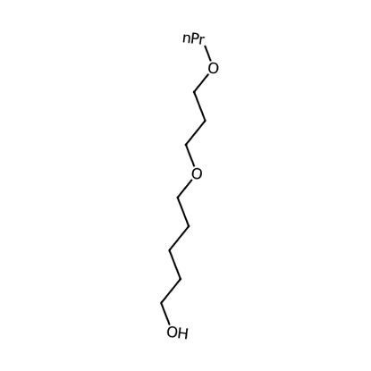 CCCOCCCOCCCCCO